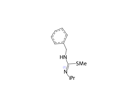 CS/C(=N\C(C)C)NCc1ccccc1